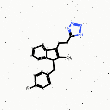 CC1=C(CCc2nnn[nH]2)c2ccccc2C1Cc1ccc(C(C)C)cc1